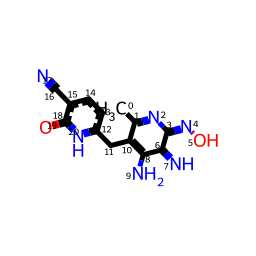 CC1=N/C(=N/O)C(=N)C(N)=C1Cc1ccc(C#N)c(=O)[nH]1